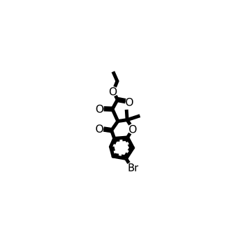 CCOC(=O)C(=O)C1C(=O)c2ccc(Br)cc2OC1(C)C